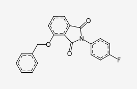 O=C1c2cccc(OCc3ccccc3)c2C(=O)N1c1ccc(F)cc1